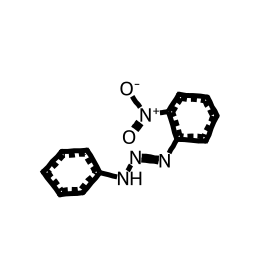 O=[N+]([O-])c1ccccc1N=NNc1ccccc1